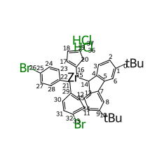 CC(C)(C)c1ccc2c(c1)-c1cc(C(C)(C)C)ccc1[CH]2[Zr]([C]1=CC=CC1)=[C](c1ccc(Br)cc1)c1ccc(Br)cc1.Cl.Cl